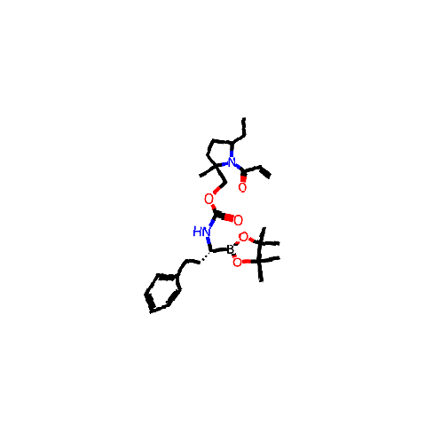 C=CC(=O)N1C(CC)CCC1(C)COC(=O)N[C@@H](CCc1ccccc1)B1OC(C)(C)C(C)(C)O1